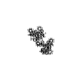 CN[C@@H](C)C(=O)N[C@H](C(=O)N1C[C@@H](NC(=O)c2cccc(C(=O)N[C@H]3C[C@@H](C(=O)N[C@H](C)c4ccccc4)N(C(=O)[C@@H](NC(=O)[C@H](C)N(C)Cl)C4CCCCC4)C3)c2)C[C@H]1C(=O)N[C@H](C)c1ccccc1)C1CCCCC1